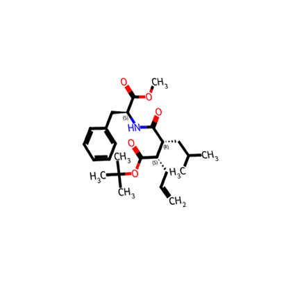 C=CC[C@H](C(=O)OC(C)(C)C)[C@@H](CC(C)C)C(=O)N[C@@H](Cc1ccccc1)C(=O)OC